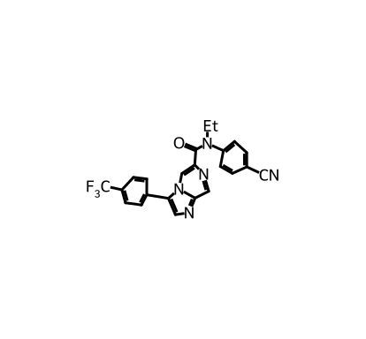 CCN(C(=O)c1cn2c(-c3ccc(C(F)(F)F)cc3)cnc2cn1)c1ccc(C#N)cc1